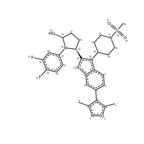 Cc1noc(C)c1-c1ccc2c(c1)nc([C@@H]1CCC(O)N1c1ccc(F)c(F)c1)n2C1CCN(S(C)(=O)=O)CC1